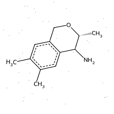 Cc1cc2c(cc1C)C(N)[C@@H](C)OC2